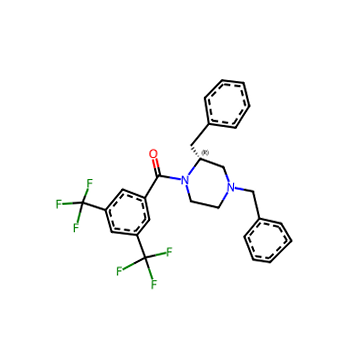 O=C(c1cc(C(F)(F)F)cc(C(F)(F)F)c1)N1CCN(Cc2ccccc2)C[C@H]1Cc1ccccc1